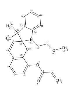 C=CC(=O)Oc1cccc2c1OC1(C=C2)N(CCOC)c2ccccc2C1(C)C